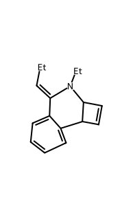 CC/C=C1/c2ccccc2C2C=CC2N1CC